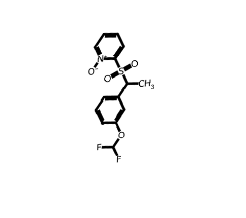 CC(c1cccc(OC(F)F)c1)S(=O)(=O)c1cccc[n+]1[O-]